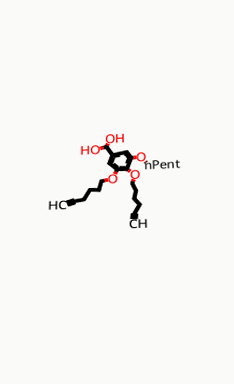 C#CCCCCOc1cc(C(O)O)cc(OCCCCC)c1OCCCCC#C